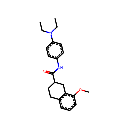 CCN(CC)c1ccc(NC(=O)C2CCc3cccc(OC)c3C2)cc1